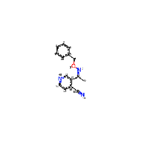 CC(=NOCc1ccccc1)c1cnccc1C#N